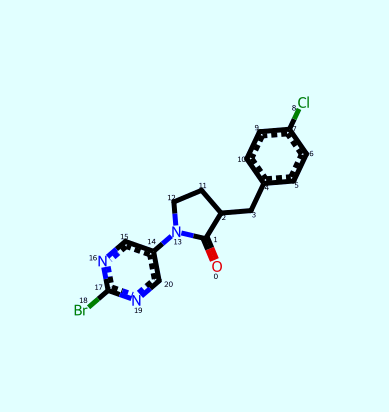 O=C1C(Cc2ccc(Cl)cc2)CCN1c1cnc(Br)nc1